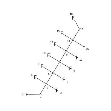 F[CH]C(F)(F)C(F)(F)C(F)(F)C(F)(F)C(F)(F)[CH]F